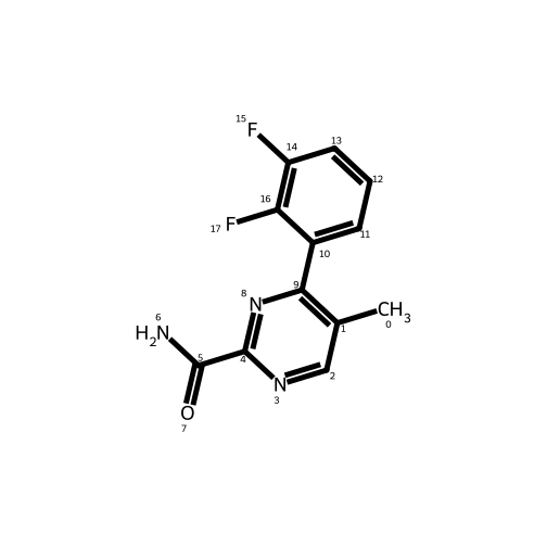 Cc1cnc(C(N)=O)nc1-c1cccc(F)c1F